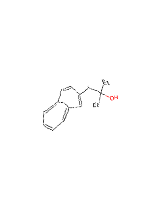 CCC(O)([CH]c1ccc2ccccc2c1)CC